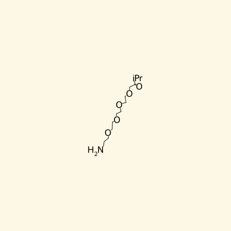 CC(C)C(=O)COCCOCCOCCOCCCN